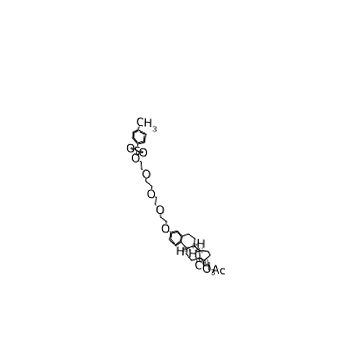 CC(=O)O[C@H]1CC[C@H]2[C@@H]3CCc4cc(OCCOCCOCCOCCOS(=O)(=O)c5ccc(C)cc5)ccc4[C@H]3CC[C@]12C